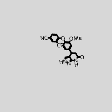 COc1cc(C2CC(=O)Nc3n[nH]cc32)ccc1Oc1ccc(C#N)cc1C(F)(F)F